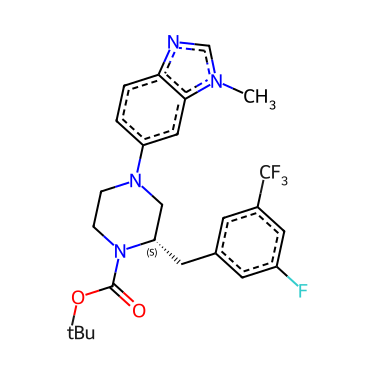 Cn1cnc2ccc(N3CCN(C(=O)OC(C)(C)C)[C@@H](Cc4cc(F)cc(C(F)(F)F)c4)C3)cc21